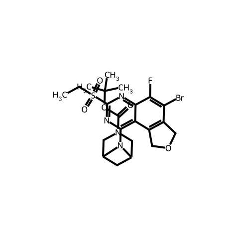 CCS(=O)(=O)c1nc(N2C3CC2CN(C(=O)OC(C)(C)C)C3)c2c3c(c(Br)c(F)c2n1)COC3